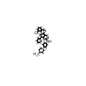 CN1CCN(c2ccc(Nc3ncc4c(=O)n(-c5c(F)cccc5Cl)nc(-c5ccccn5)c4n3)cc2)CC1